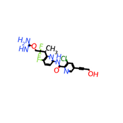 C[C@@H](c1nc(NC(=O)c2ncc(C#CCO)cc2Cl)ccc1F)C(F)(F)COC(=N)N